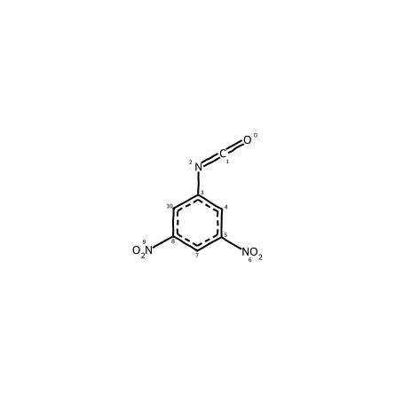 O=C=Nc1cc([N+](=O)[O-])cc([N+](=O)[O-])c1